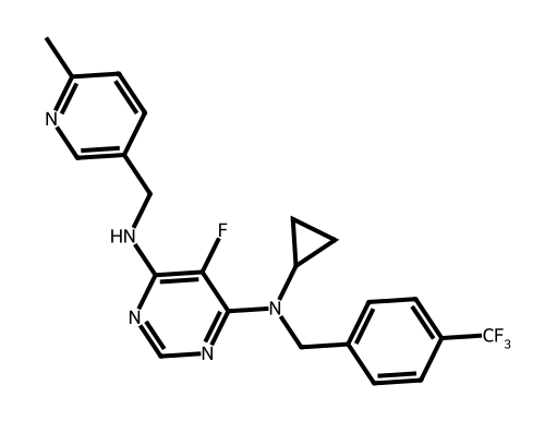 Cc1ccc(CNc2ncnc(N(Cc3ccc(C(F)(F)F)cc3)C3CC3)c2F)cn1